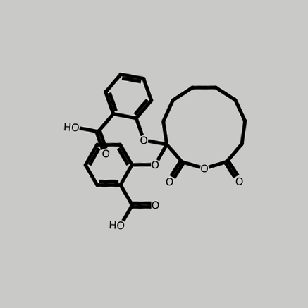 O=C1CCCCCCCC(Oc2ccccc2C(=O)O)(Oc2ccccc2C(=O)O)C(=O)O1